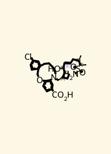 C[C@H](C/C=C/[C@H](O)[C@@H]1CC[C@H]1CN1CCCCc2cc(Cl)ccc2COc2ccc(C(=O)O)cc21)[C@@H](C)S(N)(=O)=O